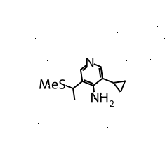 CSC(C)c1cncc(C2CC2)c1N